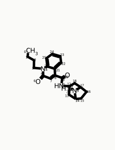 CCCCn1c(=O)cc(C(=O)NC2CC3CCC(C2)N3C)c2ccccc21